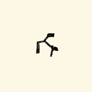 C=CC(C#N)[Te]C